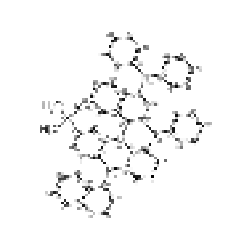 CC(C)(C)c1ccc2c(c1)B1c3c(cccc3N2c2cccc3ccccc23)N(c2ccccc2)c2cc(N(c3ccccc3)c3ccccc3)c3ccccc3c21